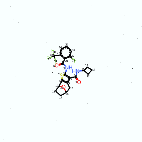 O=C(Nc1sc2c(c1C(=O)NC1CCC1)CC1CCC2O1)c1c(F)cccc1C(F)(F)F